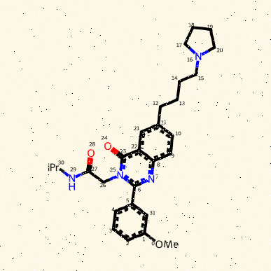 COc1cccc(-c2nc3ccc(CCCCN4CCCC4)cc3c(=O)n2CC(=O)NC(C)C)c1